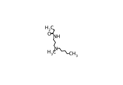 C=CC(=O)NCCCN(C)CCCCC